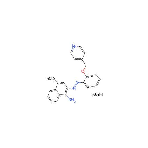 Nc1c(N=Nc2ccccc2OCc2ccncc2)cc(S(=O)(=O)O)c2ccccc12.[NaH]